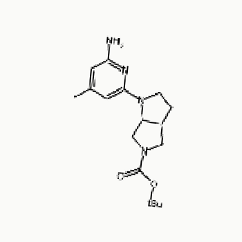 Cc1cc(N)nc(N2CCC3CN(C(=O)OC(C)(C)C)CC32)c1